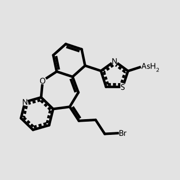 [AsH2]c1nc(C2C=CC=C3Oc4ncccc4C(=CCCBr)C=C32)cs1